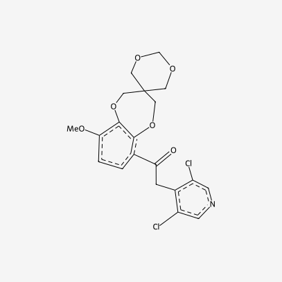 COc1ccc(C(=O)Cc2c(Cl)cncc2Cl)c2c1OCC1(COCOC1)CO2